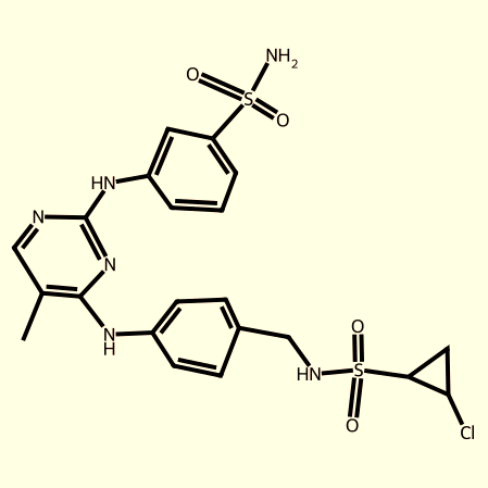 Cc1cnc(Nc2cccc(S(N)(=O)=O)c2)nc1Nc1ccc(CNS(=O)(=O)C2CC2Cl)cc1